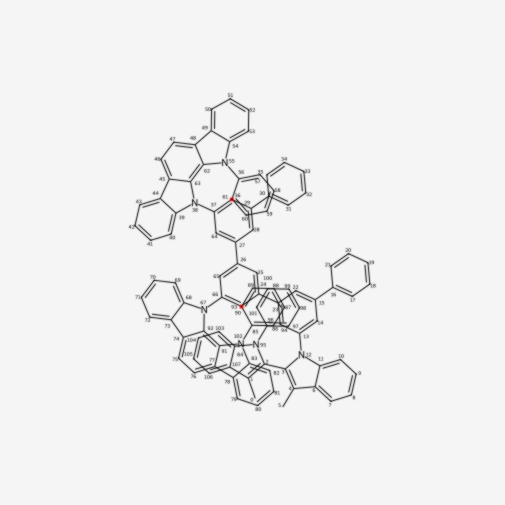 Cc1c(-c2c(C)c3ccccc3n2-c2cc(-c3ccccc3)cc(-c3cc(-c4cc(-c5ccccc5)cc(-n5c6ccccc6c6ccc7c8ccccc8n(-c8ccccc8)c7c65)c4)cc(-n4c5ccccc5c5ccc6c7ccccc7n(-c7ccccc7)c6c54)c3)c2)n(-c2ccccc2)c2ccccc12